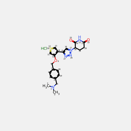 CN(C)Cc1ccc(COc2cscc2-c2cn(C3CCC(=O)NC3=O)nn2)cc1.Cl